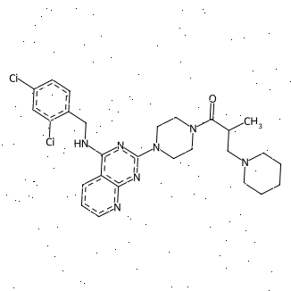 CC(CN1CCCCC1)C(=O)N1CCN(c2nc(NCc3ccc(Cl)cc3Cl)c3cccnc3n2)CC1